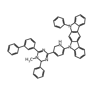 CN1C(c2cccc(-c3ccccc3)c2)=NC(C2=CC=C(n3c4ccccc4c4cc5c6ccccc6n(-c6ccccc6)c5cc43)NC2)=NC1c1ccccc1